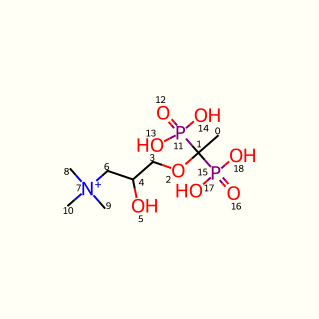 CC(OCC(O)C[N+](C)(C)C)(P(=O)(O)O)P(=O)(O)O